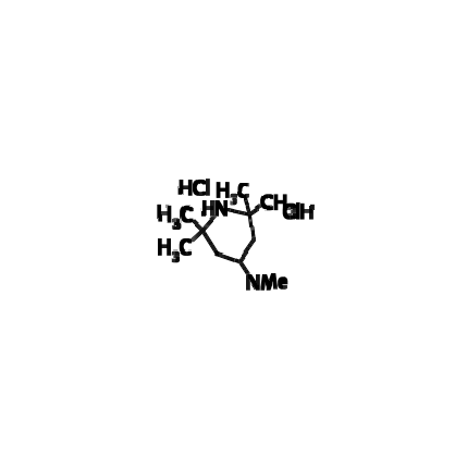 CNC1CC(C)(C)NC(C)(C)C1.Cl.Cl